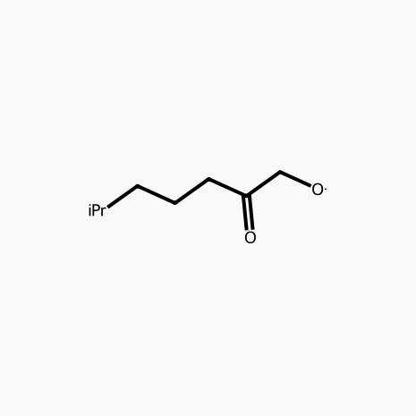 CC(C)CCCC(=O)C[O]